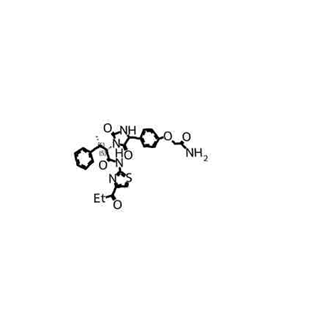 CCC(=O)c1csc(NC(=O)[C@H]([C@@H](C)c2ccccc2)N2C(=O)NC(c3ccc(OCC(N)=O)cc3)C2=O)n1